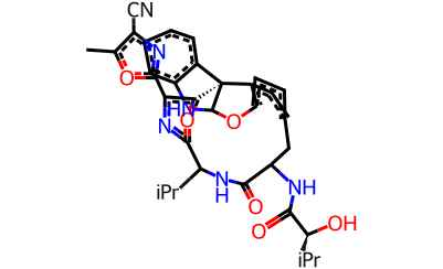 Cc1oc(-c2nc3oc2[C@@]24c5ccccc5NC2Oc2ccc(cc24)CC(NC(=O)[C@@H](O)C(C)C)C(=O)NC3C(C)C)nc1C#N